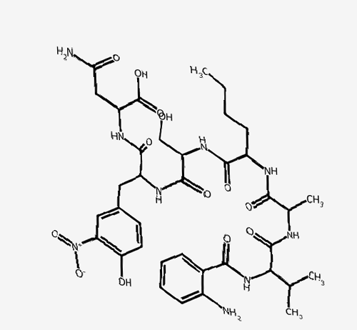 CCCCC(NC(=O)C(C)NC(=O)C(NC(=O)c1ccccc1N)C(C)C)C(=O)NC(CO)C(=O)NC(Cc1ccc(O)c([N+](=O)[O-])c1)C(=O)NC(CC(N)=O)C(=O)O